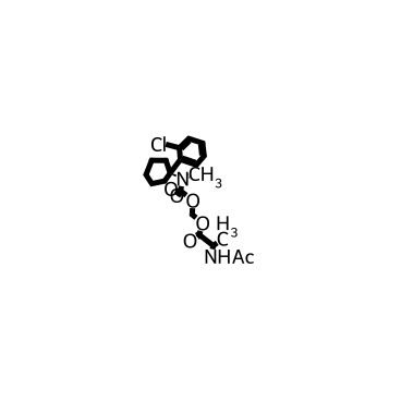 CC(=O)NC(C)C(=O)OCOC(=O)N(C)[C@@]1(c2ccccc2Cl)CCCCC1=O